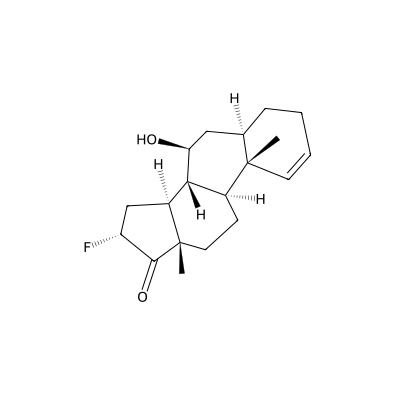 C[C@]12C=CCC[C@@H]1C[C@H](O)[C@@H]1[C@@H]2CC[C@]2(C)C(=O)[C@H](F)C[C@@H]12